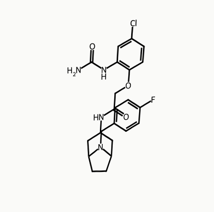 NC(=O)Nc1cc(Cl)ccc1OCC(=O)NC1CC2CCC(C1)N2Cc1ccc(F)cc1